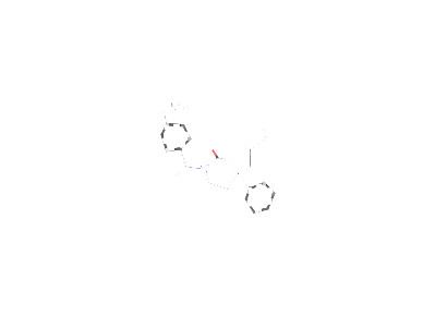 COc1ccc([C@H](C)N2CC[C@](CC(O)CO)(c3ccccc3)OC2=O)cc1